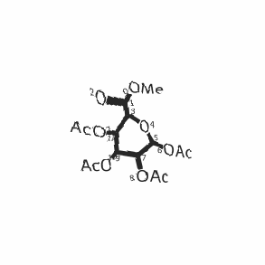 COC(=O)C1OC(OC(C)=O)C(OC(C)=O)C(OC(C)=O)C1OC(C)=O